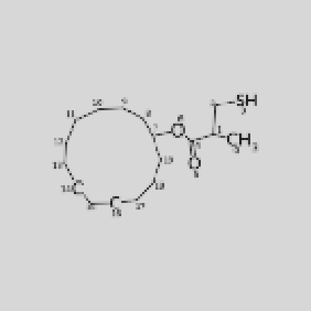 CC(CS)C(=O)OC1CCCCCCCCCCCC1